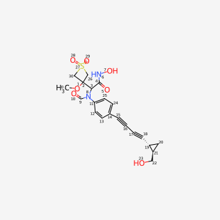 COC1(C(C(=O)NO)N(C=O)c2ccc(C#CC#C[C@@H]3C[C@H]3CO)cc2)CS(=O)(=O)C1